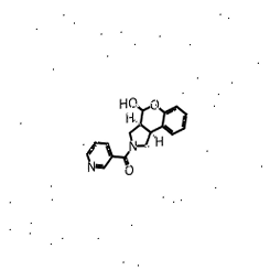 O=C(c1cccnc1)N1C[C@@H]2c3ccccc3OC(O)[C@@H]2C1